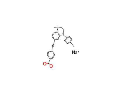 Cc1ccc(C2=CCC(C)(C)c3ccc(C#Cc4ccc(C(=O)[O-])cc4)cc32)cc1.[Na+]